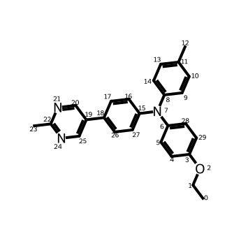 CCOc1ccc(N(c2ccc(C)cc2)c2ccc(-c3cnc(C)nc3)cc2)cc1